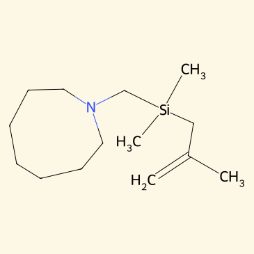 C=C(C)C[Si](C)(C)CN1CCCCCCC1